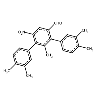 Cc1ccc(-c2c(C=O)cc([N+](=O)[O-])c(-c3ccc(C)c(C)c3)c2C)cc1C